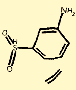 C=C.Nc1cccc([SH](=O)=O)c1